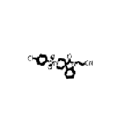 N#CCCN1C(=O)C2(CCN(S(=O)(=O)c3ccc(Cl)cc3)CC2)c2ccccc21